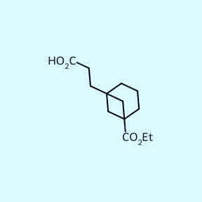 CCOC(=O)C12CCCC(CCC(=O)O)(C1)C2